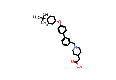 CC(C)(C)[C@H]1CC[C@H](Oc2ccc(-c3cccc(CN4CCC(CC(=O)O)CC4)c3)cc2)CC1